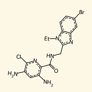 CCn1c(CNC(=O)c2nc(Cl)c(N)cc2N)nc2cc(Br)ccc21